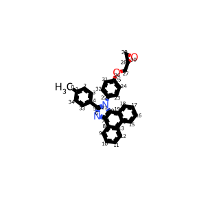 Cc1ccc(-c2nc3c4ccccc4c4ccccc4c3n2-c2ccc(OCC3CO3)cc2)cc1